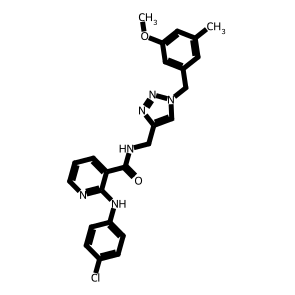 COc1cc(C)cc(Cn2cc(CNC(=O)c3cccnc3Nc3ccc(Cl)cc3)nn2)c1